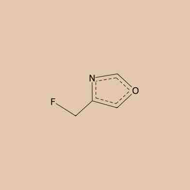 FCc1cocn1